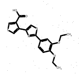 CCOc1ccc(-c2nc(-c3cscc3C(=O)O)cs2)cc1OCC